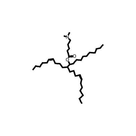 CCCCC/C=C\CCCC(CCC/C=C\CCCCCC)C(CCCCCCCCCC)OC(=O)CCCCN(C)C